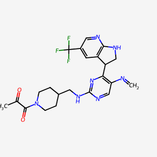 C=Nc1cnc(NCC2CCN(C(=O)C(C)=O)CC2)nc1C1CNc2ncc(C(F)(F)F)cc21